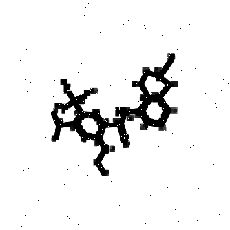 CCOc1cc(C(C)C)c(C(F)(F)F)cc1C(=O)Nc1cccc2c1CCN(C)C2